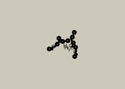 CC1(C)c2cc(COC3Cc4ccccc43)ccc2-c2ccc(N(c3ccc(-c4ccccc4)cc3)c3ccc(-c4ccc5c(c4)c4ccccc4n5-c4ccc(COC5Cc6ccccc65)cc4)cc3)cc21